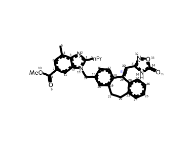 CCCc1nc2c(C)cc(C(=O)OC)cc2n1Cc1ccc2c(c1)CCc1ccccc1/C2=C\c1noc(=O)[nH]1